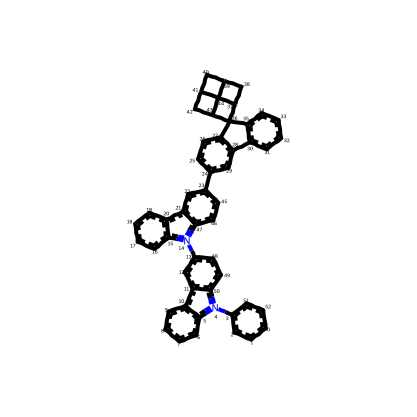 c1ccc(-n2c3ccccc3c3cc(-n4c5ccccc5c5cc(-c6ccc7c(c6)-c6ccccc6C76C7CC8CC9CC6C897)ccc54)ccc32)cc1